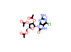 CC(=O)OC[C@H]1O[C@@H](n2c(=O)[nH]c3c(Cl)nc(N)nc32)[C@H](OC(C)=O)[C@H]1OC(C)=O